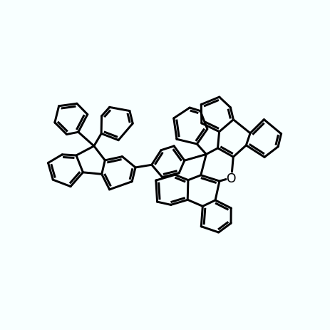 c1ccc(C2(c3ccccc3)c3ccccc3-c3ccc(-c4ccc(C5(c6ccccc6)c6c(c7ccccc7c7ccccc67)Oc6c5c5ccccc5c5ccccc65)cc4)cc32)cc1